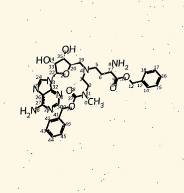 CN(CCN(CC[C@H](N)C(=O)OCc1ccccc1)C[C@H]1O[C@@H](n2cnc3c(N)ncnc32)[C@H](O)[C@@H]1O)C(=O)OCc1ccccc1